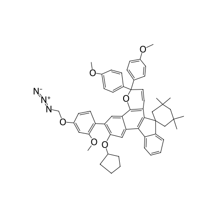 COc1ccc(C2(c3ccc(OC)cc3)C=Cc3c4c(c5cc(OC6CCCC6)c(-c6ccc(OCN=[N+]=[N-])cc6OC)cc5c3O2)-c2ccccc2C42CC(C)(C)CC(C)(C)C2)cc1